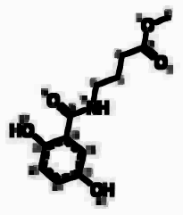 COC(=O)CCCNC(=O)c1cc(O)ccc1O